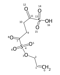 C=CCOS(=O)(=O)C(=O)CCC(=O)S(=O)(=O)O